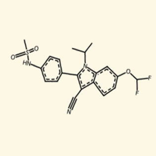 CC(C)n1c(-c2ccc(NS(C)(=O)=O)cc2)c(C#N)c2ccc(OC(F)F)cc21